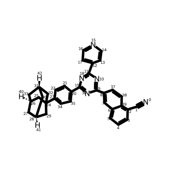 N#Cc1cccc2cc(-c3nc(-c4ccncc4)nc(-c4ccc(C56C[C@H]7C[C@H](C5)C[C@@H](C6)C7)cc4)n3)ccc12